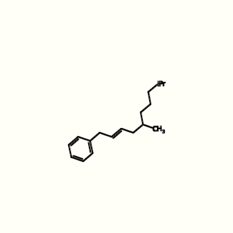 CC(C)CCCC(C)CC=CCc1ccccc1